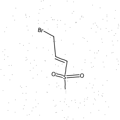 CS(=O)(=O)C=CCBr